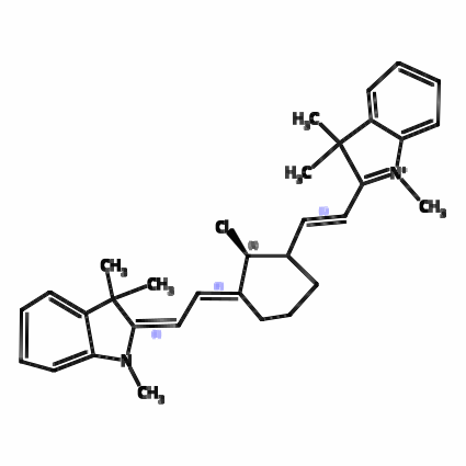 CN1/C(=C/C=C2\CCCC(/C=C/C3=[N+](C)c4ccccc4C3(C)C)[C@@H]2Cl)C(C)(C)c2ccccc21